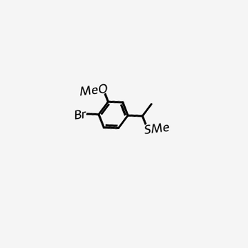 COc1cc(C(C)SC)ccc1Br